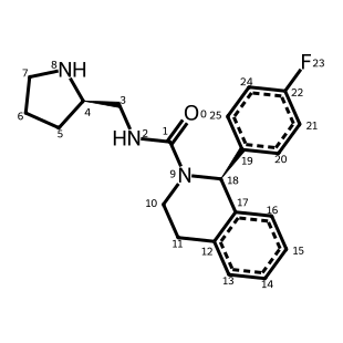 O=C(NC[C@H]1CCCN1)N1CCc2ccccc2[C@@H]1c1ccc(F)cc1